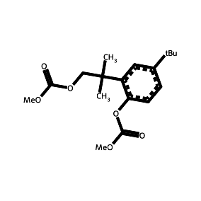 COC(=O)OCC(C)(C)c1cc(C(C)(C)C)ccc1OC(=O)OC